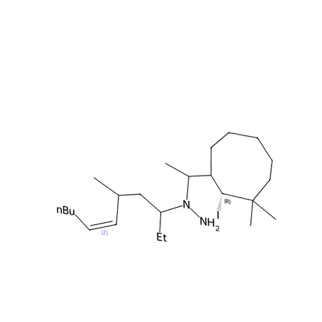 CCCC/C=C\C(C)CC(CC)N(N)C(C)C1CCCCCC(C)(C)[C@@H]1I